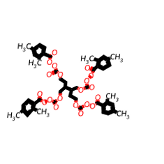 Cc1ccc(C(=O)OOC(=O)OCCC(COC(=O)OOC(=O)c2ccc(C)cc2C)C(CCOC(=O)OOC(=O)c2ccc(C)cc2C)COC(=O)OOC(=O)c2ccc(C)cc2C)c(C)c1